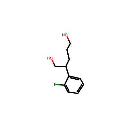 OCCCC(CO)c1ccccc1F